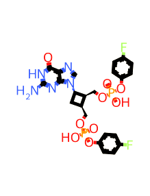 Nc1nc2c(ncn2[C@@H]2C[C@H](COP(=O)(O)Oc3ccc(F)cc3)[C@@H]2COP(=O)(O)Oc2ccc(F)cc2)c(=O)[nH]1